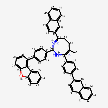 C/C1=C(\c2ccc(-c3ccc4ccccc4c3)cc2)NC(c2ccc(-c3cccc4oc5ccccc5c34)cc2)/N=C(/c2ccc3ccccc3c2)CC1